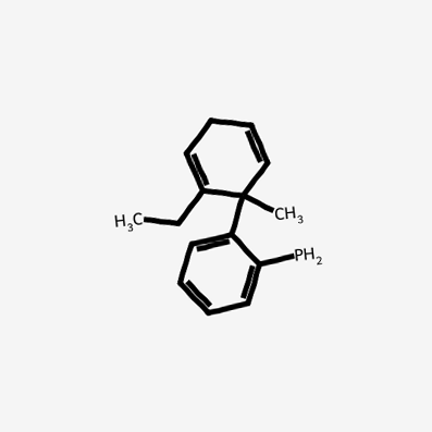 CCC1=CCC=CC1(C)c1ccccc1P